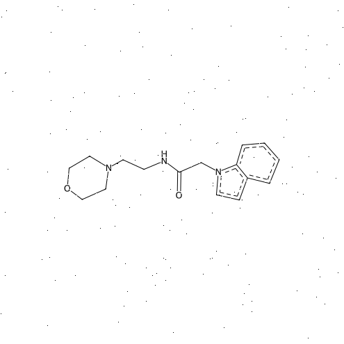 O=C(Cn1c[c]c2ccccc21)NCCN1CCOCC1